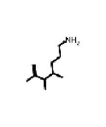 C=C(C)C(C)C(C)CCCN